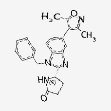 Cc1noc(C)c1-c1ccc2c(c1)nc([C@@H]1CCC(=O)N1)n2Cc1ccccc1